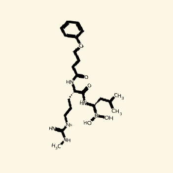 CNC(=N)NCCC[C@H](NC(=O)CCCOc1ccccc1)C(=O)N[C@@H](CC(C)C)B(O)O